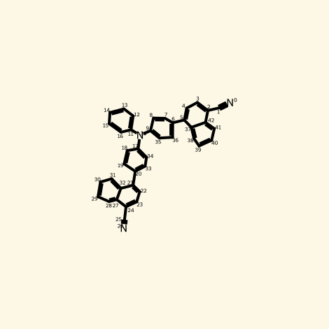 N#Cc1ccc(-c2ccc(N(c3ccccc3)c3ccc(-c4ccc(C#N)c5ccccc45)cc3)cc2)c2ccccc12